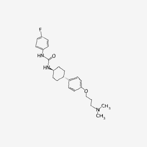 CN(C)CCCOc1ccc([C@H]2CC[C@H](NC(=O)Nc3ccc(F)cc3)CC2)cc1